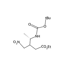 CCOC(=O)CC(C[N+](=O)[O-])[C@H](C)NC(=O)OC(C)(C)C